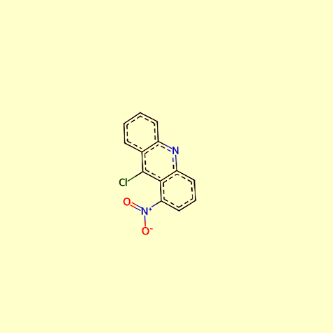 O=[N+]([O-])c1cccc2nc3ccccc3c(Cl)c12